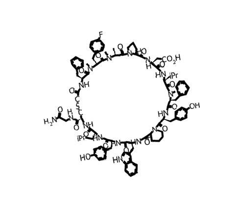 CC(C)C[C@@H]1NC(=O)[C@H](Cc2ccc(O)cc2)NC(=O)[C@H](Cc2c[nH]c3ccccc23)NC(=O)[C@H]2CCCCN2C(=O)[C@H](Cc2ccc(O)cc2)NC(=O)[C@H](Cc2ccccc2)N(C)C(=O)[C@H](C(C)C)NC(=O)[C@H](CC(=O)O)NC(=O)[C@H]2CCCN2C(=O)[C@H](C)N(C)C(=O)[C@H](Cc2ccc(F)cc2)N(C)C(=O)[C@H](Cc2ccccc2)NC(=O)CSC[C@@H](C(=O)NCC(N)=O)NC1=O